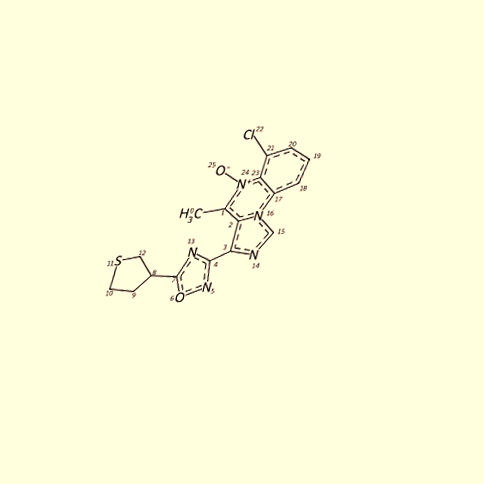 Cc1c2c(-c3noc(C4CCSC4)n3)ncn2c2cccc(Cl)c2[n+]1[O-]